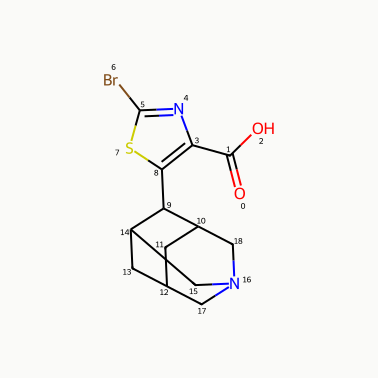 O=C(O)c1nc(Br)sc1C1C2CC3CC1CN(C3)C2